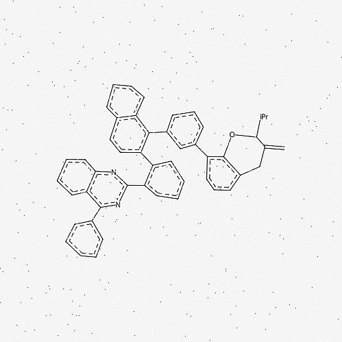 C=C1Cc2cccc(-c3cccc(-c4c(-c5ccccc5-c5nc(-c6ccccc6)c6ccccc6n5)ccc5ccccc45)c3)c2OC1C(C)C